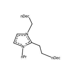 CCCCCCCCCCCCc1n(CCCCCCCCCCC)cc[n+]1CCC